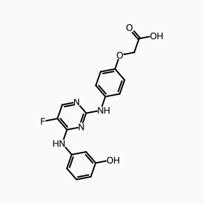 O=C(O)COc1ccc(Nc2ncc(F)c(Nc3cccc(O)c3)n2)cc1